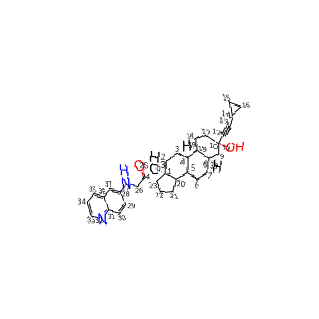 C[C@]12CCC3C(CC[C@@H]4C[C@@](O)(C#CC5CC5)CC[C@H]34)C1CC[C@@H]2C(=O)CNc1ccc2ncccc2c1